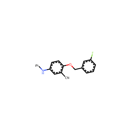 CC(C)Nc1ccc(OCc2cccc(F)c2)c(C#N)c1